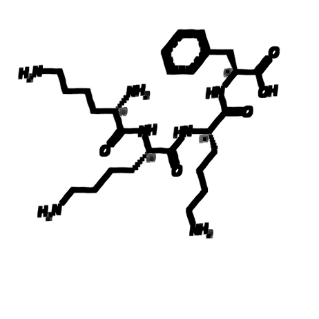 NCCCC[C@H](NC(=O)[C@H](CCCCN)NC(=O)[C@@H](N)CCCCN)C(=O)N[C@@H](Cc1ccccc1)C(=O)O